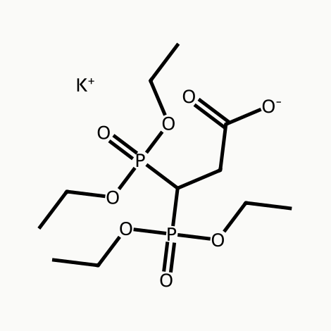 CCOP(=O)(OCC)C(CC(=O)[O-])P(=O)(OCC)OCC.[K+]